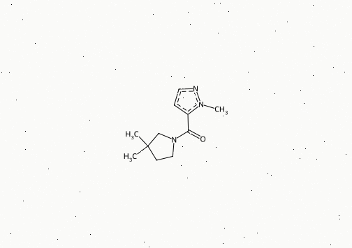 Cn1nccc1C(=O)N1CCC(C)(C)C1